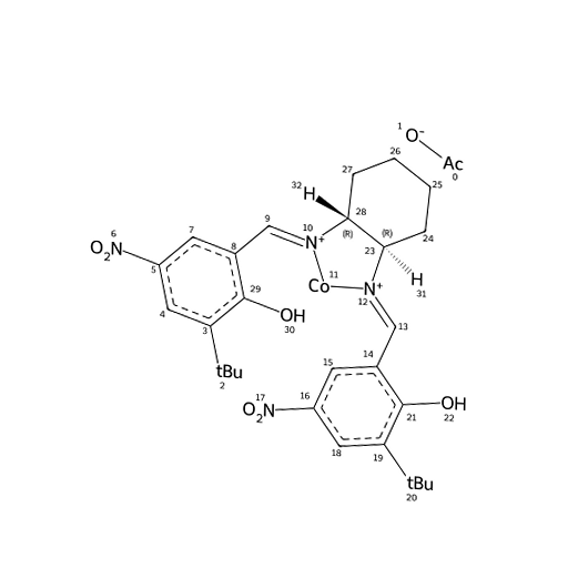 CC(=O)[O-].CC(C)(C)c1cc([N+](=O)[O-])cc(C=[N+]2[Co][N+](=Cc3cc([N+](=O)[O-])cc(C(C)(C)C)c3O)[C@@H]3CCCC[C@H]32)c1O